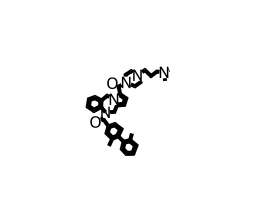 Cc1ccccc1-c1ccc(C(=O)N2Cc3ccc(C(=O)N4CCN(CCCN(C)C)CC4)n3Cc3ccccc32)cc1C